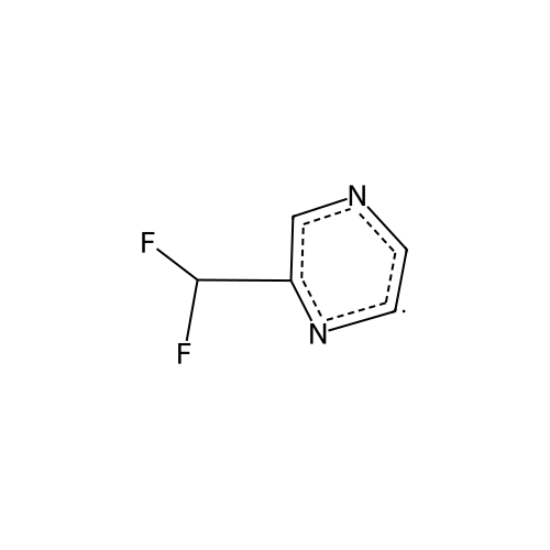 FC(F)c1cnc[c]n1